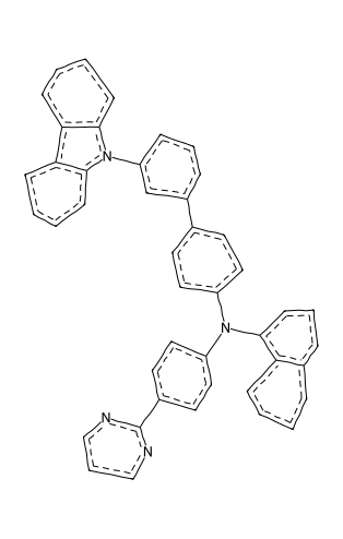 c1cnc(-c2ccc(N(c3ccc(-c4cccc(-n5c6ccccc6c6ccccc65)c4)cc3)c3cccc4ccccc34)cc2)nc1